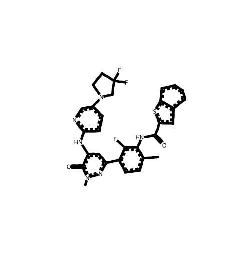 Cc1ccc(-c2cc(Nc3ccc(N4CCC(F)(F)C4)cn3)c(=O)n(C)n2)c(F)c1NC(=O)c1cc2ccccc2s1